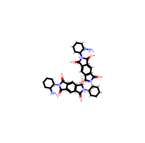 NC1CCCC[C@H]1n1c(=O)c2cc3c(=O)n([C@@H]4CCCC[C@H]4n4c(=O)c5cc6c(=O)n(C7CCCC[C@H]7N)c(=O)c6cc5c4=O)c(=O)c3cc2c1=O